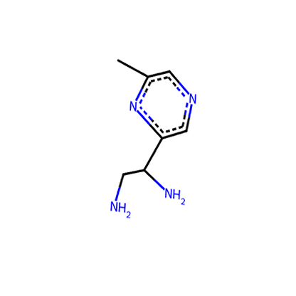 Cc1cncc(C(N)CN)n1